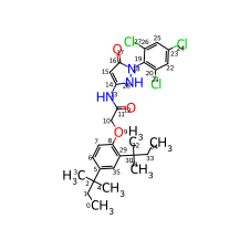 CCC(C)(C)c1ccc(OCC(=O)Nc2cc(=O)n(-c3c(Cl)cc(Cl)cc3Cl)[nH]2)c(C(C)(C)CC)c1